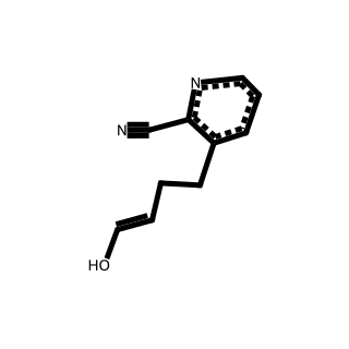 N#Cc1ncccc1CCC=CO